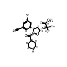 N#Cc1cc(F)cc([C@@H]2CCON2C(=O)C2CCNCC2)c1.O=C(O)C(F)(F)F